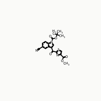 COC(=O)c1csc(C(=O)c2cn(C(=O)OC(C)(C)C)c3ccc(C#N)cc23)n1